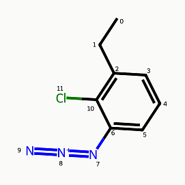 CCc1cccc(N=[N+]=[N-])c1Cl